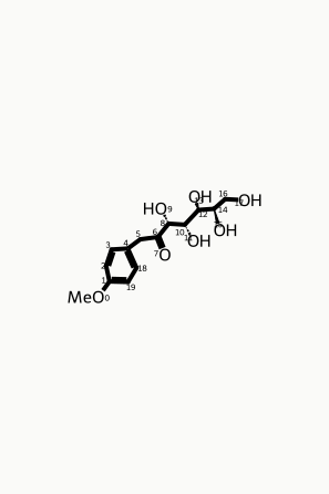 COc1ccc(CC(=O)[C@H](O)[C@@H](O)[C@@H](O)[C@H](O)CO)cc1